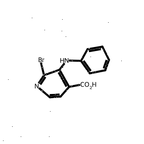 O=C(O)c1ccnc(Br)c1Nc1ccccc1